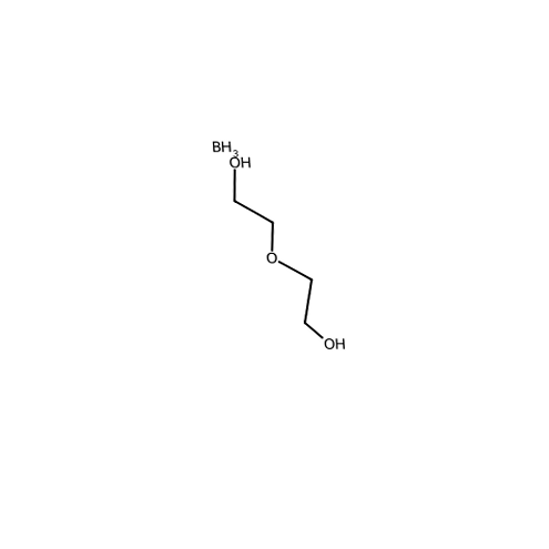 B.OCCOCCO